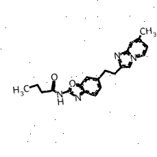 CCCC(=O)Nc1nc2ccc(CCc3cn4ccc(C)cc4n3)cc2o1